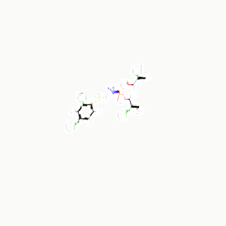 C=C(Cl)COC(=NSSc1ccc(Cl)cc1Cl)OCC(=C)Cl